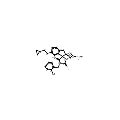 [C-]#[N+]c1ccccc1CN1C(=O)C2(NC1=S)c1cc(CCC3CC3)ccc1CC21CCC(OC)CC1